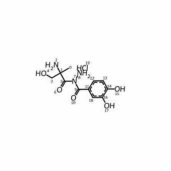 CC(N)(CO)C(=O)N(N)C(=O)c1ccc(O)c(O)c1.Cl